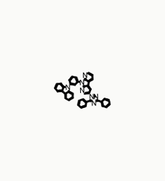 c1ccc(-c2nc(-c3ccccc3)n(-c3cnc4c(c3)c3cccnc3n4-c3cccc(-n4c5ccccc5c5ccccc54)c3)n2)cc1